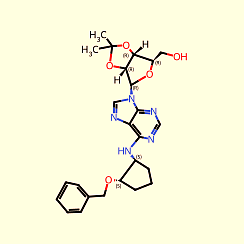 CC1(C)O[C@@H]2[C@H](O1)[C@@H](CO)O[C@H]2n1cnc2c(N[C@H]3CCC[C@@H]3OCc3ccccc3)ncnc21